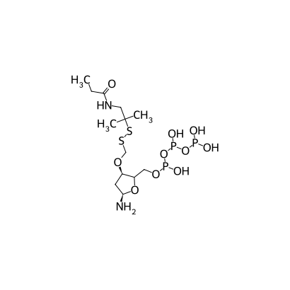 CCC(=O)NCC(C)(C)SSCO[C@@H]1C[C@H](N)OC1COP(O)OP(O)OP(O)O